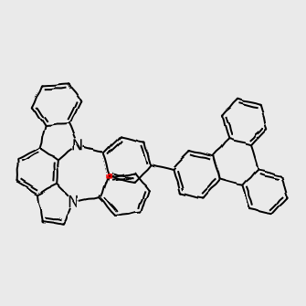 c1ccc(-n2ccc3ccc4c5ccccc5n(-c5ccc(-c6ccc7c8ccccc8c8ccccc8c7c6)cc5)c4c32)cc1